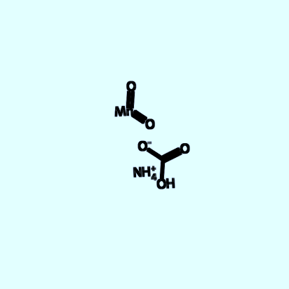 O=C([O-])O.[NH4+].[O]=[Mn]=[O]